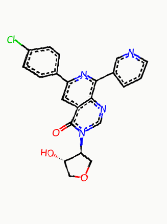 O=c1c2cc(-c3ccc(Cl)cc3)nc(-c3cccnc3)c2ncn1[C@H]1COC[C@@H]1O